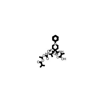 CC(OC(=O)NC(C)C(O)(P=O)C1(C(=O)NC(C)C(=O)O)CCN(c2ccccc2)CC1)OC(=O)C(C)C